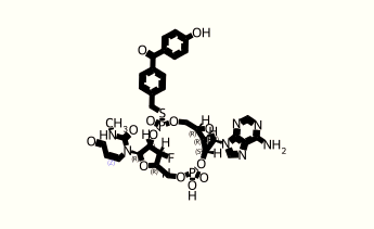 CNC(=O)N(/C=C\C=O)[C@@H]1O[C@@H]2COP(=O)(O)O[C@@H]3[C@H](F)[C@@H](COP(=O)(SCc4ccc(C(=O)c5ccc(O)cc5)cc4)O[C@@H]1[C@@H]2F)O[C@H]3n1cnc2c(N)ncnc21